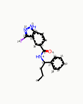 CCCC(NC(=O)c1ccc2[nH]nc(I)c2c1)c1ccccc1